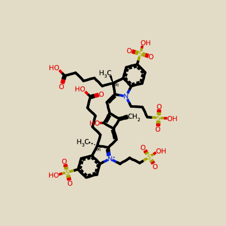 C=C1C(=CC2=[N+](CCCS(=O)(=O)O)c3ccc(S(=O)(=O)O)cc3[C@@]2(C)CCCCC(=O)O)C(O)=C1C=C1N(CCCS(=O)(=O)O)c2ccc(S(=O)(=O)O)cc2[C@@]1(C)CCCCC(=O)O